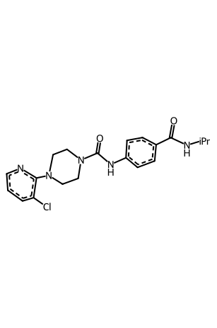 CC(C)NC(=O)c1ccc(NC(=O)N2CCN(c3ncccc3Cl)CC2)cc1